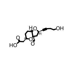 O=C[C@]12C[C@H](C#CCCO)O[C@H]1CC[C@H](CC(=O)O)O2